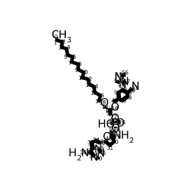 CCCCCCCCCCCCCCCCCCOC[C@H](COP(=O)(O)OC[C@]1(N)CC[C@H](c2ccc3c(N)ncnn23)O1)OCc1ccc(C#N)c(-n2cncn2)c1